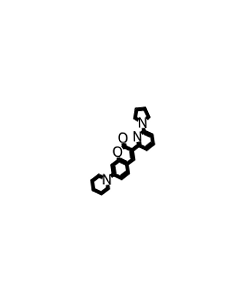 O=c1oc2cc(N3CCCCC3)ccc2cc1-c1cccc(N2CCCC2)n1